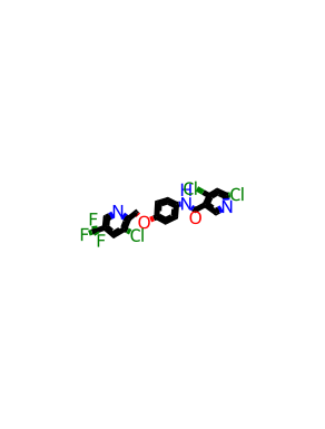 O=C(Nc1ccc(OCc2ncc(C(F)(F)F)cc2Cl)cc1)c1cnc(Cl)cc1Cl